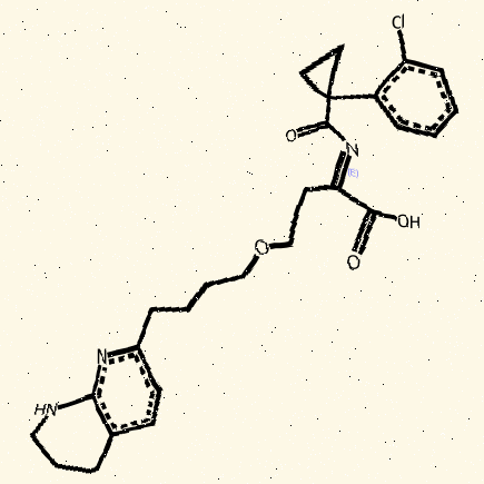 O=C(O)/C(CCOCCCCc1ccc2c(n1)NCCC2)=N/C(=O)C1(c2ccccc2Cl)CC1